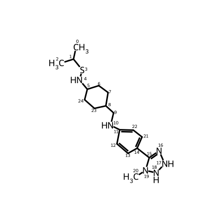 CC(C)SNC1CCC(CNc2ccc(C3=NNNN3C)cc2)CC1